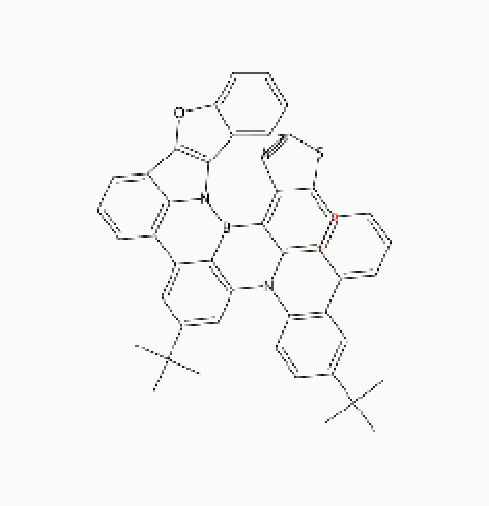 CC(C)(C)c1ccc(N2c3cc(C(C)(C)C)cc4c3B(c3c2ccc2sc5ccccc5c32)n2c3c-4cccc3c3oc4ccccc4c32)c(-c2ccccc2)c1